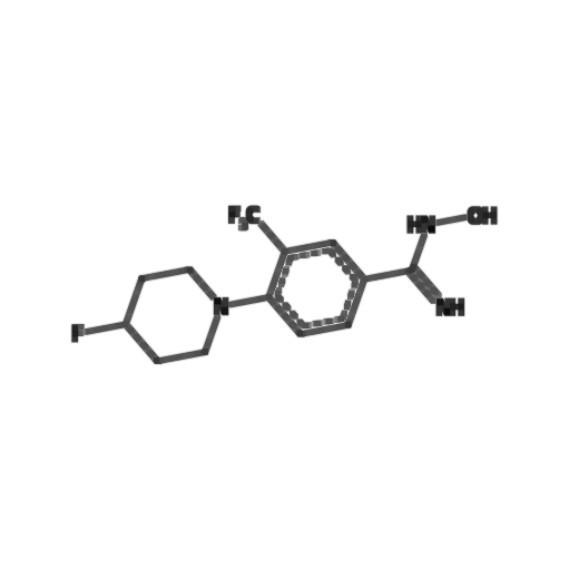 N=C(NO)c1ccc(N2CCC(F)CC2)c(C(F)(F)F)c1